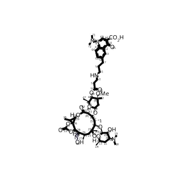 CO[C@]1(C)C[C@H](O[C@H]2[C@H](C)[C@@H](O[C@@H]3O[C@H](C)C[C@H](N(C)C)[C@H]3O)[C@](C)(O)C[C@@H](C)/C(=N\O)[C@H]3OC(=O)O[C@@]34C(C)[C@H]4OC(=O)[C@@H]2C)O[C@@H](C)[C@@H]1OC(=O)CCNCCCc1ccc2c(c1)c(=O)c(C(=O)O)cn2N(C)C